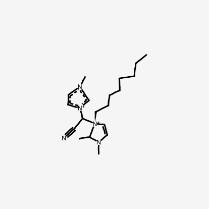 CCCCCCCC[N@@+]1(C(C#N)[n+]2ccn(C)c2)C=CN(C)C1C